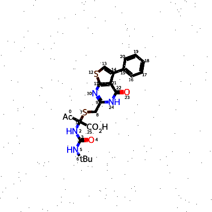 CC(=O)C(NC(=O)NC(C)(C)C)(SCc1nc2scc(-c3ccccc3)c2c(=O)[nH]1)C(=O)O